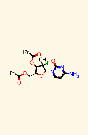 CC(C)C(=O)OC[C@H]1O[C@@H](n2ccc(N)nc2=O)C(C)(F)C1OC(=O)C(C)C